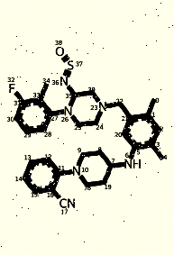 Cc1cc(C)c(NC2CCN(c3ccccc3C#N)CC2)cc1CN1CCN(c2cccc(F)c2C)C(N=S=O)C1